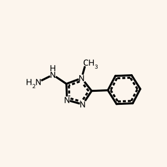 Cn1c(NN)nnc1-c1ccccc1